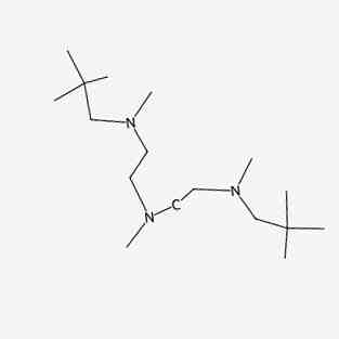 CN(CCN(C)CC(C)(C)C)CCN(C)CC(C)(C)C